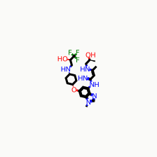 C/C(=C/C(=N)Nc1cc(O[C@H]2CC[C@@H](NC[C@@H](O)C(F)(F)F)CC2)cc2c1ncn2C)NC[C@H](C)O